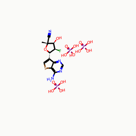 C[C@]1(C#N)O[C@@H](c2csc3c(N)ncnc23)[C@H](F)[C@@H]1O.O=P(O)(O)O.O=P(O)(O)O.O=P(O)(O)O